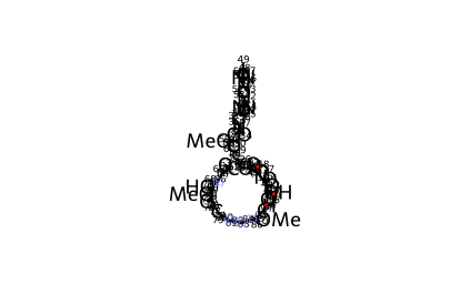 CO[C@H]1C[C@@H]2CC[C@@H](C)[C@@](O)(O2)C(=O)C(=O)N2CCCC[C@H]2C(=O)O[C@H]([C@H](C)C[C@@H]2CC[C@@H](OC(=O)N3CCc4nc(N5CCN(c6ncc(C)cn6)CC5)ncc4C3)[C@H](OC)C2)CC(=O)[C@H](C)/C=C(\C)[C@@H](O)[C@@H](OC)C(=O)[C@H](C)C[C@H](C)/C=C/C=C/C=C/1C